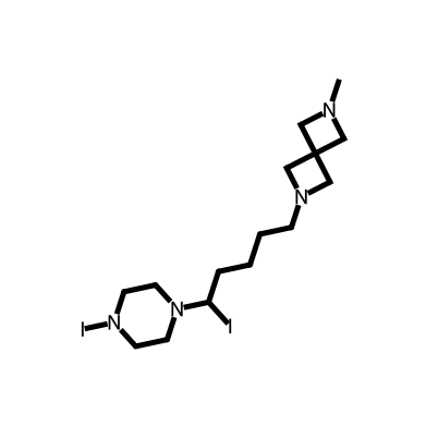 CN1CC2(C1)CN(CCCCC(I)N1CCN(I)CC1)C2